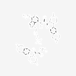 CC1CCC(c2ccc3c(c2)CCN(C)C3)N(C(=O)C(=O)Nc2cnc(N)c3cnn(COCC[Si](C)(C)C)c23)C1.CC1CCC(c2ccc3c(c2)CCN(C)C3)N(C(=O)C(N)=O)C1